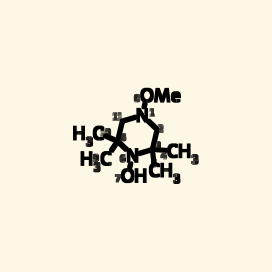 CON1CC(C)(C)N(O)C(C)(C)C1